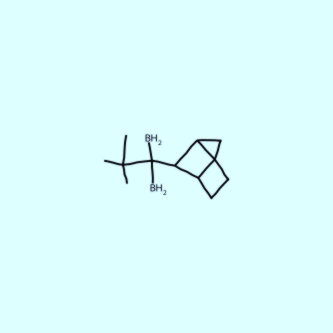 BC(B)(C1C2CCC23CC13)C(C)(C)C